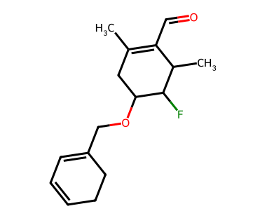 CC1=C(C=O)C(C)C(F)C(OCC2=CC=CCC2)C1